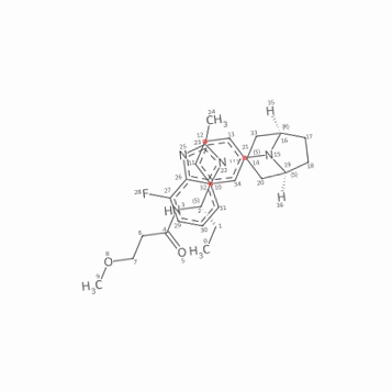 CC[C@H](NC(=O)CCOC)c1cccc(N2[C@@H]3CC[C@H]2C[C@H](n2c(C)nc4c(F)cccc42)C3)c1